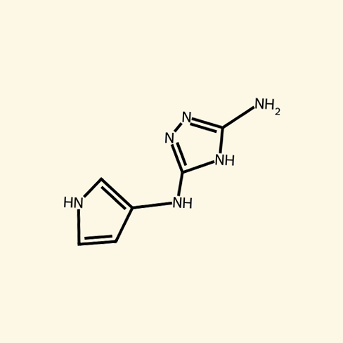 Nc1nnc(Nc2cc[nH]c2)[nH]1